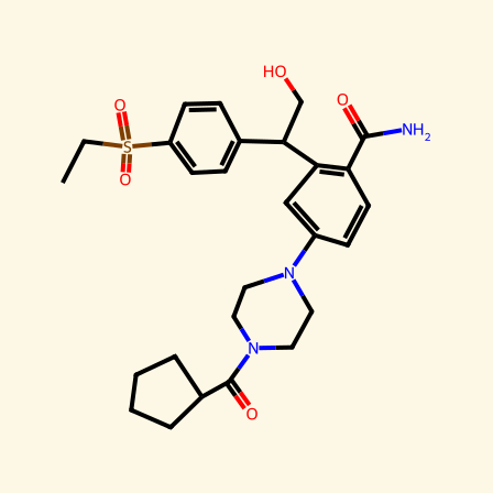 CCS(=O)(=O)c1ccc(C(CO)c2cc(N3CCN(C(=O)C4CCCC4)CC3)ccc2C(N)=O)cc1